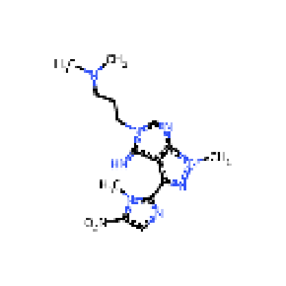 CN(C)CCCn1cnc2c(c(-c3ncc([N+](=O)[O-])n3C)nn2C)c1=N